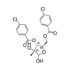 C[C@]1(O)C(O)O[C@H](COC(=O)c2ccc(Cl)cc2)[C@H]1OC(=O)c1ccc(Cl)cc1